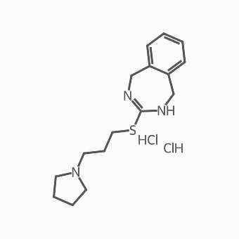 Cl.Cl.c1ccc2c(c1)CN=C(SCCCN1CCCC1)NC2